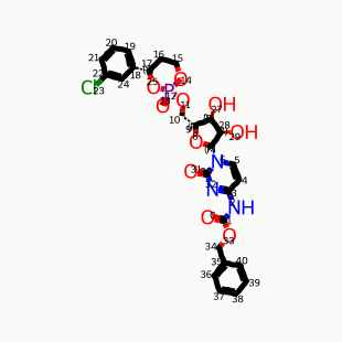 O=C(Nc1ccn([C@@H]2O[C@H](COP3(=O)OCC[C@@H](c4cccc(Cl)c4)O3)[C@@H](O)[C@H]2O)c(=O)n1)OCc1ccccc1